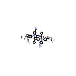 [C-]#[N+]c1ccc(N(c2ccc(C(C)(C)C)cc2)c2cc(C3CCCC3)c3ccc4c(N(c5ccc(C#N)cc5)c5ccc(C(C)(C)C)cc5)cc(C5CCCC5)c5ccc2c3c54)cc1